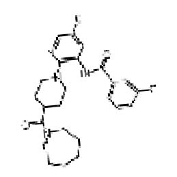 O=C(Nc1cc(Cl)cnc1N1CCC(C(=O)N2CCCCCC2)CC1)c1cccc(Cl)c1